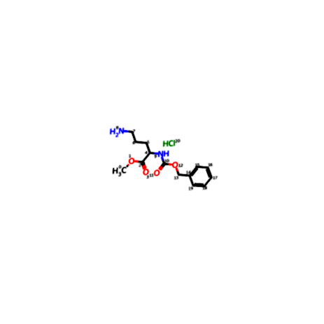 COC(=O)C(CCCN)NC(=O)OCc1ccccc1.Cl